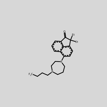 CCC1(CC)C(=O)c2cccc3c(N4CCCN(CCCC(F)(F)F)CC4)ccc1c23